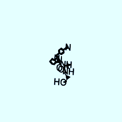 CC(C)(C)[C@H](NC(=O)c1nn(Cc2ccc(C#N)cc2)c2ccccc12)C(=O)NC[C@H]1C[C@H]1CO